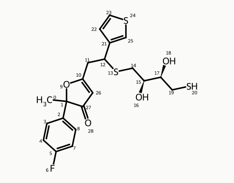 CC1(c2ccc(F)cc2)OC(CC(SC[C@H](O)[C@@H](O)CS)c2ccsc2)=CC1=O